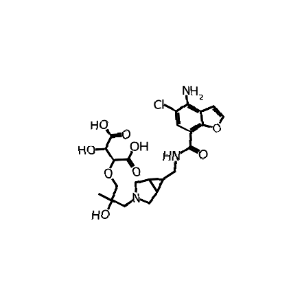 CC(O)(COC(C(=O)O)C(O)C(=O)O)CN1CC2C(CNC(=O)c3cc(Cl)c(N)c4ccoc34)C2C1